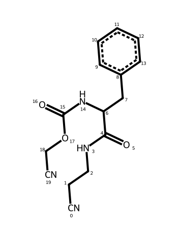 N#CCCNC(=O)C(Cc1ccccc1)NC(=O)OCC#N